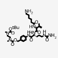 C=C(C)[C@@H](NC(=O)CCCCCN)C(=O)N[C@H](CCCNC(N)=O)C(=O)Nc1ccc(COC(=O)N(C)CCN(C)C(=O)OC(C)(C)C)cc1